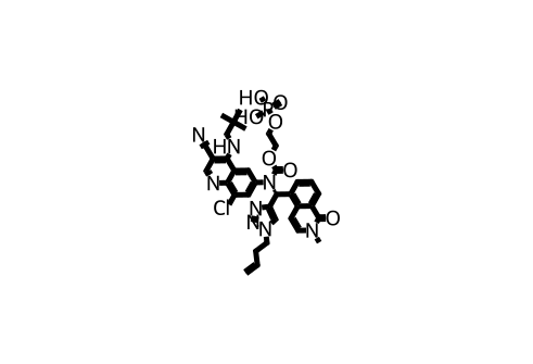 C=CCCn1cc([C@H](c2cccc3c(=O)n(C)ccc23)N(C(=O)OCCOP(=O)(O)O)c2cc(Cl)c3ncc(C#N)c(NCC(C)(C)C)c3c2)nn1